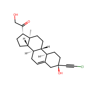 C[C@]12CC[C@H]3[C@@H](CC=C4C[C@@](O)(C#CCl)CC[C@@H]43)[C@@H]1CC[C@@H]2C(=O)CO